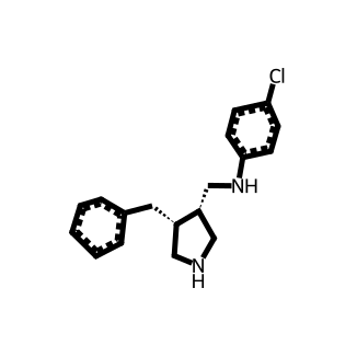 Clc1ccc(NC[C@@H]2CNC[C@@H]2Cc2ccccc2)cc1